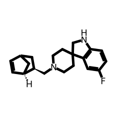 Fc1ccc2c(c1)C1(CCN(C[C@@H]3CC4C=C[C@H]3C4)CC1)CN2